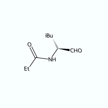 CCC(=O)N[C@H](C=O)[C@@H](C)CC